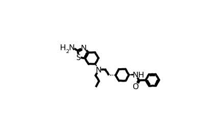 CCCN(CC[C@H]1CC[C@H](NC(=O)c2ccccc2)CC1)[C@H]1CCc2nc(N)sc2C1